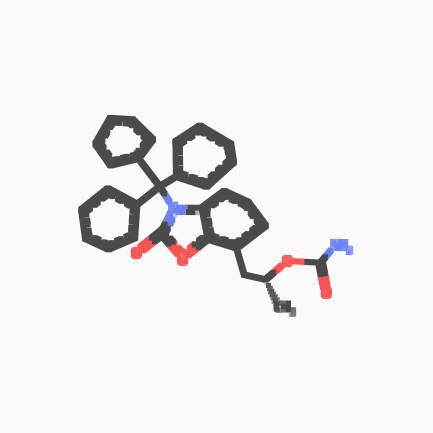 C[C@H](Cc1cccc2c1oc(=O)n2C(c1ccccc1)(c1ccccc1)c1ccccc1)OC(N)=O